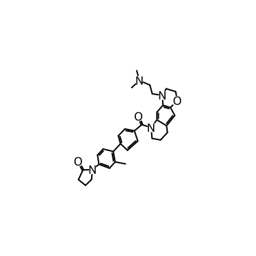 Cc1cc(N2CCCC2=O)ccc1-c1ccc(C(=O)N2CCCc3cc4c(cc32)N(CCN(C)C)CCO4)cc1